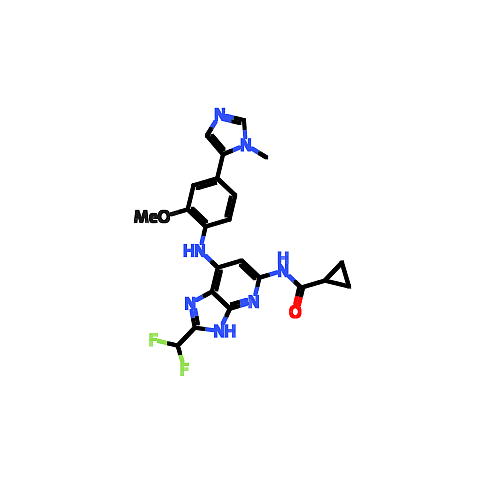 COc1cc(-c2cncn2C)ccc1Nc1cc(NC(=O)C2CC2)nc2[nH]c(C(F)F)nc12